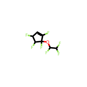 FC1=CC(F)C(F)C1(F)OC(F)C(F)F